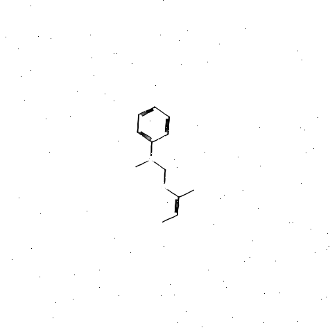 C/C=C(/C)NCN(C)c1ccccc1